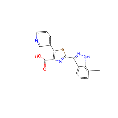 Cc1cccc2c(-c3nc(C(=O)O)c(-c4cccnc4)s3)n[nH]c12